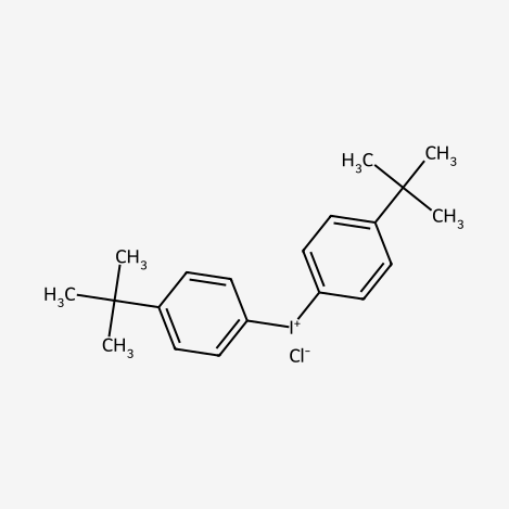 CC(C)(C)c1ccc([I+]c2ccc(C(C)(C)C)cc2)cc1.[Cl-]